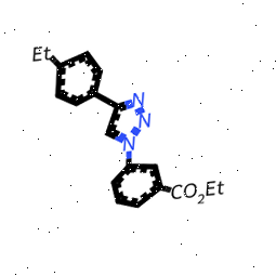 CCOC(=O)c1cccc(-n2cc(-c3ccc(CC)cc3)nn2)c1